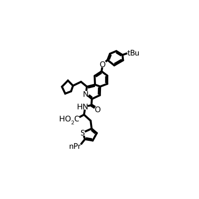 CCCc1ccc(CC(NC(=O)c2cc3ccc(Oc4ccc(C(C)(C)C)cc4)cc3c(CC3CCCC3)n2)C(=O)O)s1